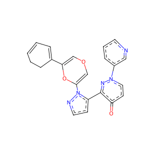 O=c1ccn(-c2cccnc2)nc1-c1ccnn1C1=COC=C(C2=CC=CCC2)O1